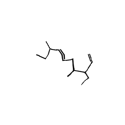 C=CC(CC)C(C)CC=CC(C)CC